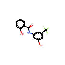 O=C(Nc1cc(O)cc(C(F)(F)F)c1)c1c[c]ccc1O